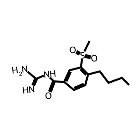 CCCCc1ccc(C(=O)NC(=N)N)cc1S(C)(=O)=O